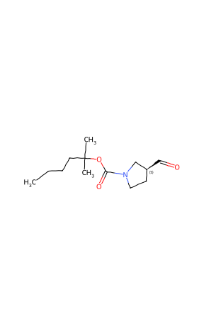 CCCCC(C)(C)OC(=O)N1CC[C@H](C=O)C1